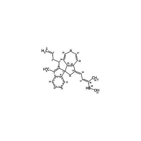 C=CCC/C(=C\C)C1(c2ccccc2)CC(=CC=C(C)BO)C2=C1C=CCC=C2